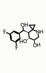 OC(c1cc(F)cc(F)c1)[C@@H]1[C@@H](O)[C@H](O)CNC12CC2